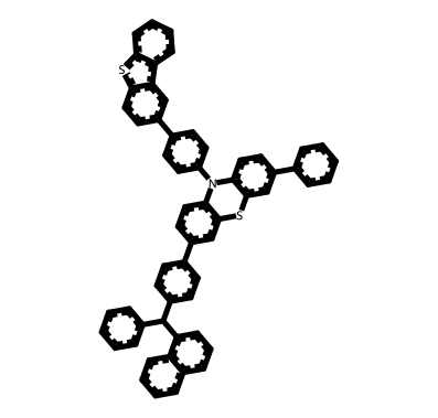 c1ccc(-c2ccc3c(c2)Sc2cc(-c4ccc(C(c5ccccc5)c5cccc6ccccc56)cc4)ccc2N3c2ccc(-c3ccc4sc5ccccc5c4c3)cc2)cc1